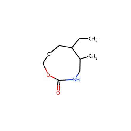 [CH2]CC1CC[CH]OC(=O)NCC1C